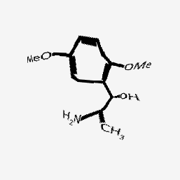 COc1ccc(OC)c([C@@H](O)C(C)N)c1